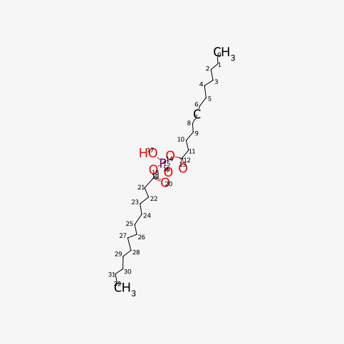 CCCCCCCCCCCCC(=O)OP(=O)(O)OC(=O)CCCCCCCCCCCC